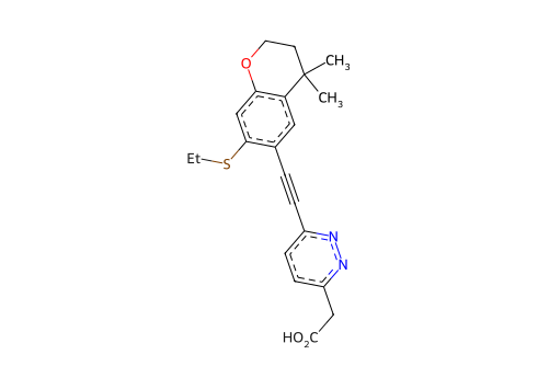 CCSc1cc2c(cc1C#Cc1ccc(CC(=O)O)nn1)C(C)(C)CCO2